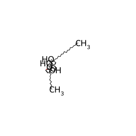 CCCCCCCCCCCCCCCCc1ccc(C(=O)Oc2cccc(CCCCCCCCC)c2O)c(O)c1O